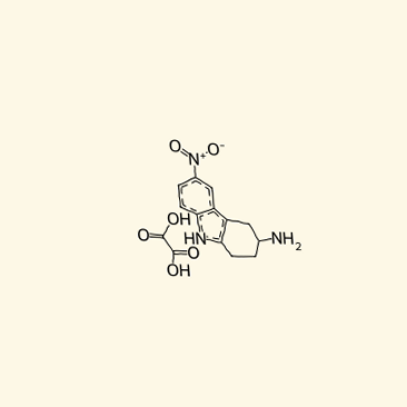 NC1CCc2[nH]c3ccc([N+](=O)[O-])cc3c2C1.O=C(O)C(=O)O